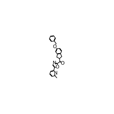 Cc1cccc(-c2cnc(C(=O)C3Cc4ccc(OCc5ccccc5)cc4C3)o2)n1